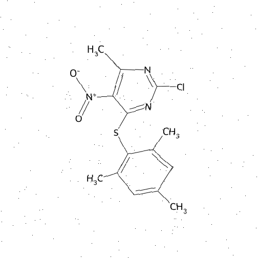 Cc1cc(C)c(Sc2nc(Cl)nc(C)c2[N+](=O)[O-])c(C)c1